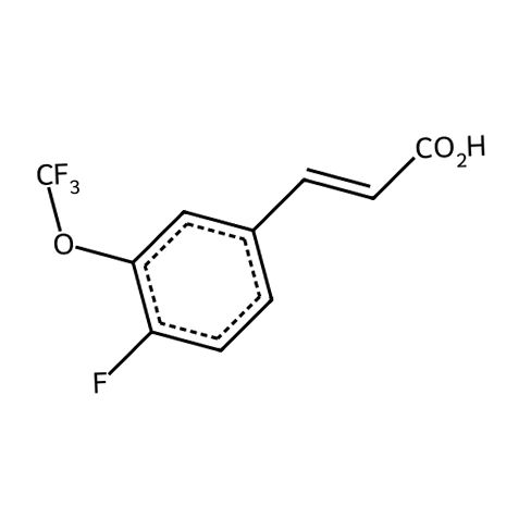 O=C(O)C=Cc1ccc(F)c(OC(F)(F)F)c1